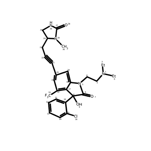 CCN(CC)CCN1C(=O)C(O)(c2ccccc2Cl)c2c1cc(C#CCC1CNC(=O)N1C)cc2C(F)(F)F